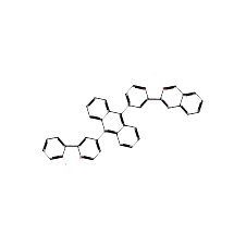 c1ccc2cc3c(cc2c1)oc1ccc(-c2c4ccccc4c(-c4ccc5oc6ccccc6c5c4)c4ccccc24)cc13